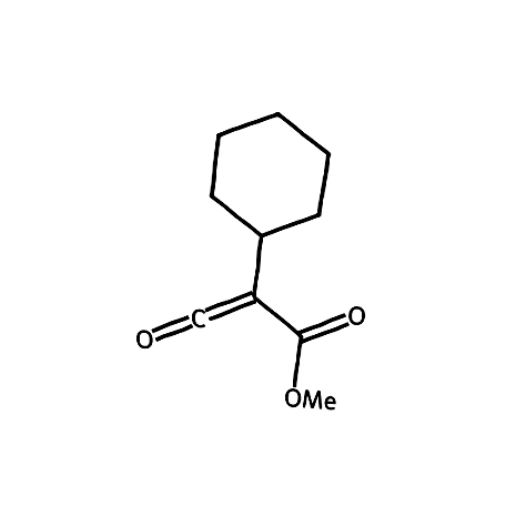 COC(=O)C(=C=O)C1CCCCC1